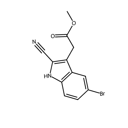 COC(=O)Cc1c(C#N)[nH]c2ccc(Br)cc12